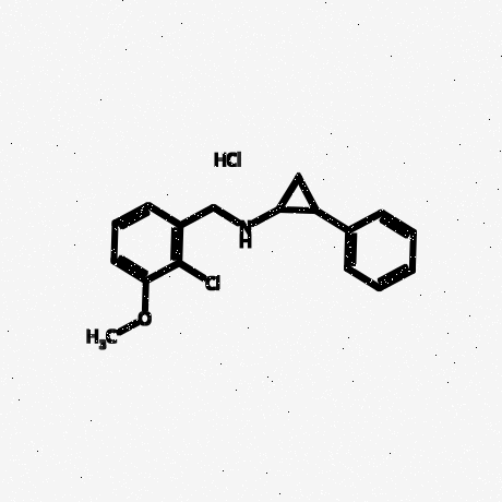 COc1cccc(CNC2CC2c2ccccc2)c1Cl.Cl